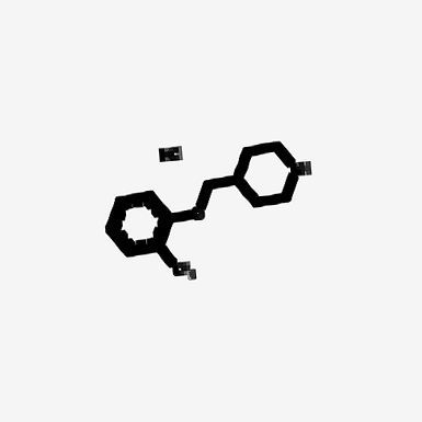 Cl.FC(F)(F)c1ccccc1OCC1CCNCC1